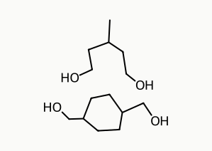 CC(CCO)CCO.OCC1CCC(CO)CC1